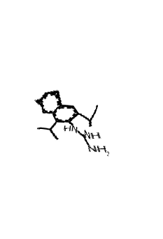 CC(C)c1cc2ccccc2c(C(C)C)c1NC(=N)N